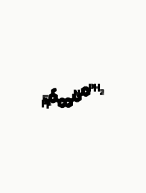 CCc1cc(-c2ccc3ccc(-c4ccc(-c5ccc(P)cc5)nc4)cc3c2)cc(C(F)(F)F)c1